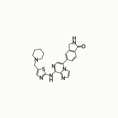 O=C1NCc2cc(-c3cnc(Nc4ncc(CN5CCCCC5)s4)c4nccn34)ccc21